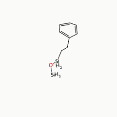 [SiH3]O[SiH2]CCc1ccccc1